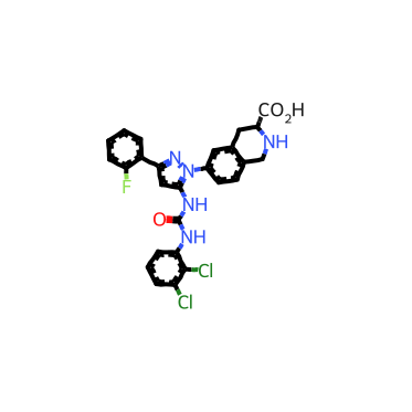 O=C(Nc1cccc(Cl)c1Cl)Nc1cc(-c2ccccc2F)nn1-c1ccc2c(c1)CC(C(=O)O)NC2